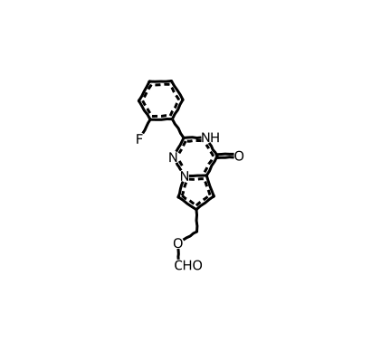 O=COCc1cc2c(=O)[nH]c(-c3ccccc3F)nn2c1